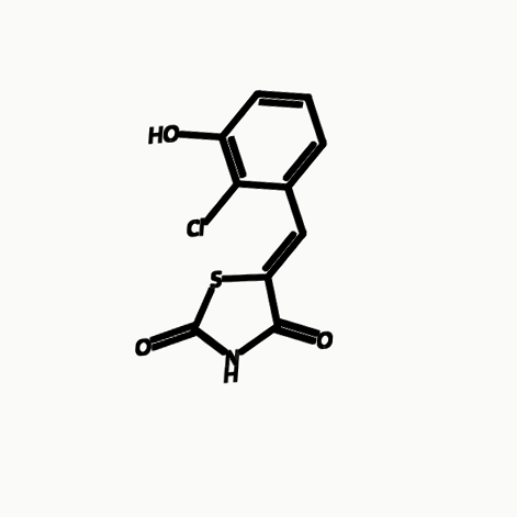 O=C1NC(=O)C(=Cc2cccc(O)c2Cl)S1